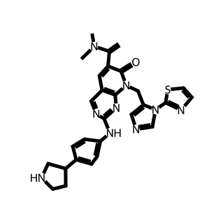 C=C(c1cc2cnc(Nc3ccc(C4CCNC4)cc3)nc2n(Cc2cncn2-c2nccs2)c1=O)N(C)C